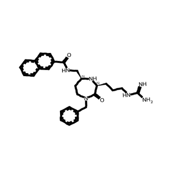 N=C(N)NCCC[C@@H]1N[C@H](CNC(=O)c2ccc3ccccc3c2)CCN(Cc2ccccc2)C1=O